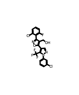 OCc1c(-c2c(F)cccc2Cl)noc1-c1cnn(-c2cccc(Cl)c2)c1C(F)(F)F